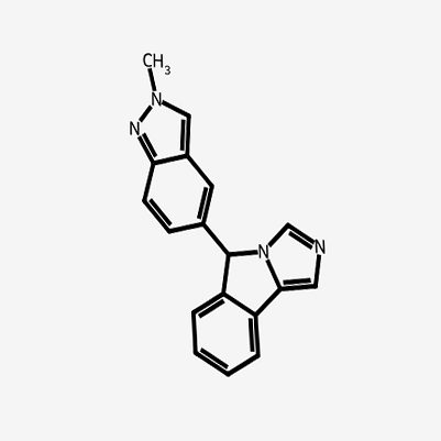 Cn1cc2cc(C3c4ccccc4-c4cncn43)ccc2n1